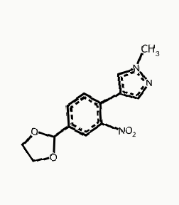 Cn1cc(-c2ccc(C3OCCO3)cc2[N+](=O)[O-])cn1